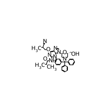 CC(C#N)COc1nc(NC(=O)C(C)C)nc2c1ncn2[C@H]1CN(C(c2ccccc2)(c2ccccc2)c2ccccc2)C[C@@H](CO)O1